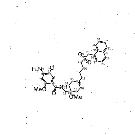 COc1cc(N)c(Cl)cc1C(=O)NCC1(OC)CCN(CCCCS(=O)(=O)Cc2cccc3ccccc23)CC1